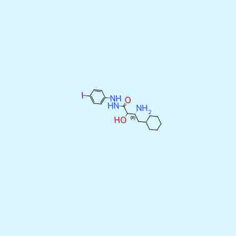 N[C@H](CC1CCCCC1)C(O)C(=O)NNc1ccc(I)cc1